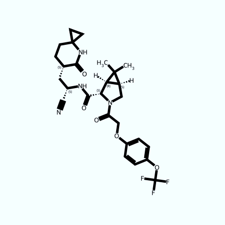 CC1(C)[C@@H]2[C@@H](C(=O)N[C@H](C#N)C[C@@H]3CCC4(CC4)NC3=O)N(C(=O)COc3ccc(OC(F)(F)F)cc3)C[C@@H]21